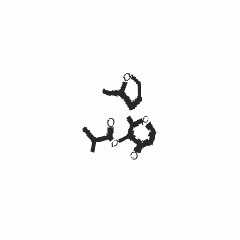 C[C]1CCCO1.Cc1occc(=O)c1OC(=O)C(C)C